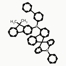 CC1(C)c2ccccc2-c2ccc(N(c3cccc(-c4ccccc4)c3)c3cccc4c3-c3ccccc3C43c4ccccc4N(c4ccccc4)c4ccccc43)cc21